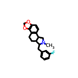 CN1CC2c3ccc4c(c3CCC2C1Cc1cccc(F)c1)OCO4